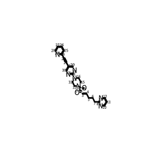 O=S(=O)(C=CCCCc1ncccn1)N1CCN(c2ncc(C#Cc3ccccn3)cn2)CC1